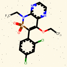 O=S1(=O)C(c2ccc(Cl)cc2Cl)=C(OCC(F)(F)F)c2nccnc2N1CC(F)(F)F